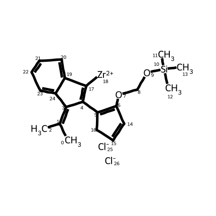 CC(C)=C1C(C2=C(OCO[Si](C)(C)C)C=CC2)=[C]([Zr+2])c2ccccc21.[Cl-].[Cl-]